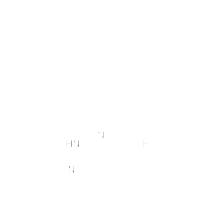 CCC1=CC=NNN1c1ccc(C)cc1